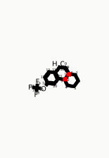 CN1C[C@@]23CCCCC12CCc1ccc(OC(F)(F)F)cc13